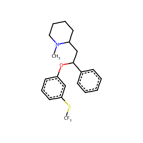 CN1CCCCC1CC(Oc1cccc(SC(F)(F)F)c1)c1ccccc1